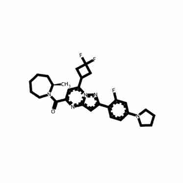 C[C@@H]1CCCCCN1C(=O)c1cc(C2CC(F)(F)C2)n2nc(-c3ccc(N4CCCC4)cc3F)cc2n1